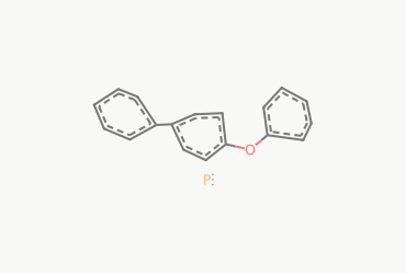 [P].c1ccc(Oc2ccc(-c3ccccc3)cc2)cc1